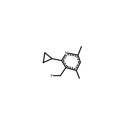 Cc1cc(C)c(CF)c(C2CC2)n1